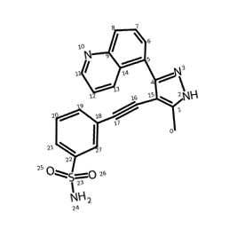 Cc1[nH]nc(-c2cccc3ncccc23)c1C#Cc1cccc(S(N)(=O)=O)c1